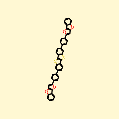 c1ccc2c(c1)oc1cc(-c3ccc(-c4ccc5c(c4)sc4c6ccc(-c7ccc(-c8cc9oc%10ccccc%10c9o8)cc7)cc6sc54)cc3)oc12